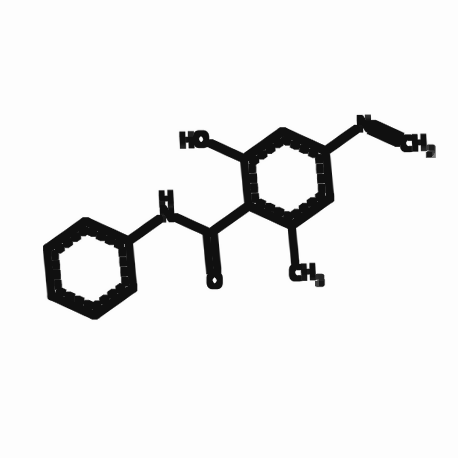 C=Nc1cc(C)c(C(=O)Nc2ccccc2)c(O)c1